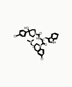 CN(C)C[C@@H]1Cc2cc(Cl)ccc2N(C(=O)[C@@H](Cc2c[nH]c3ccccc23)NC(=O)N2CCC(O)(c3ccc(Cl)cc3)CC2)C1